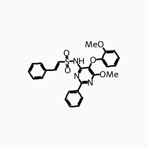 COc1ccccc1Oc1c(NS(=O)(=O)C=Cc2ccccc2)nc(-c2ccccc2)nc1OC